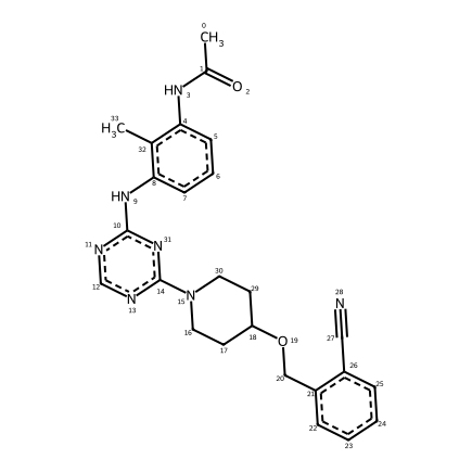 CC(=O)Nc1cccc(Nc2ncnc(N3CCC(OCc4ccccc4C#N)CC3)n2)c1C